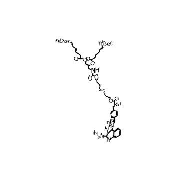 CCCCCCCCCCCCCCCC(=O)OCC(CNC(=O)OCCSSCCOC(=O)NCc1ccc(Cn2c(CCCC)nc3c(N)nc4ccccc4c32)cc1)OC(=O)CCCCCCCCCCCCCCC